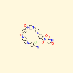 N#Cc1ccc(N2CCC3(CCN(C(=O)C45CCC(C(=O)N6CCN(CC7CCN(c8ccc9c(c8)C(=O)N(C8CCC(=O)NC8=O)C9=O)CC7)CC6)(CC4)CC5)CC3)C2)cc1Cl